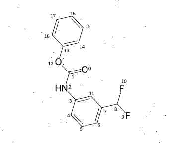 O=C(Nc1cccc(C(F)F)c1)Oc1ccccc1